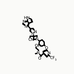 CN(CCO)C(=O)c1cc(OC2CCC(N3CC(CC#N)(n4cc(-c5ncnc6[nH]ccc56)cn4)C3)CC2)nc(C(F)(F)F)c1